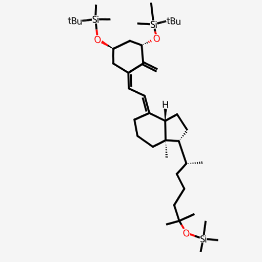 C=C1/C(=C\C=C2/CCC[C@]3(C)[C@@H]([C@H](C)CCCC(C)(C)O[Si](C)(C)C)CC[C@@H]23)C[C@@H](O[Si](C)(C)C(C)(C)C)C[C@@H]1O[Si](C)(C)C(C)(C)C